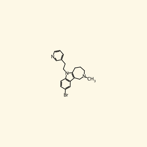 CN1CCCc2c(c3cc(Br)ccc3n2CCc2cccnc2)C1